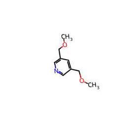 COCc1cncc(COC)c1